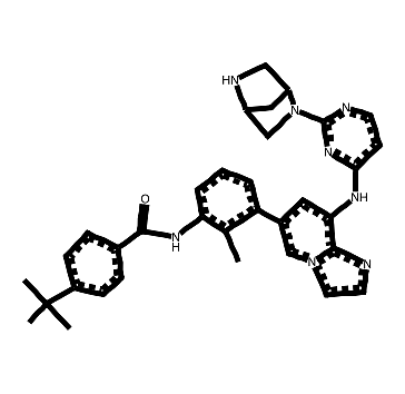 Cc1c(NC(=O)c2ccc(C(C)(C)C)cc2)cccc1-c1cc(Nc2ccnc(N3CC4CC3CN4)n2)c2nccn2c1